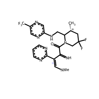 CN/C=C(\C(=N)C(=O)N1CC(F)(F)C[C@@H](C)C1CNc1cnc(C(F)(F)F)cn1)c1ncccn1